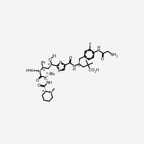 CCCCCCN(C(=O)[C@@H](NC(=O)[C@H]1CCCCN1C)[C@@H](C)CC)[C@H](C[C@@H](OCC)c1nc(C(=O)N[C@@H](Cc2ccc(NC(=O)CN)c(F)c2)CC(C)(C)C(=O)O)cs1)C(C)C